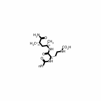 CCCC(=O)N[C@@H](CCNC(=O)O)C(=O)N[C@@H](C)C[C@H](C)C(N)=O